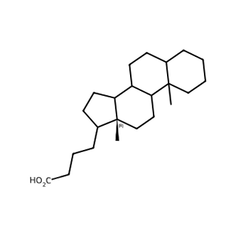 CC12CCCCC1CCC1C2CC[C@]2(C)C(CCCC(=O)O)CCC12